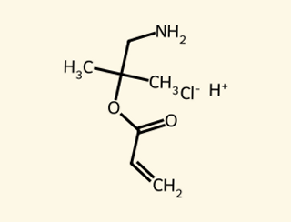 C=CC(=O)OC(C)(C)CN.[Cl-].[H+]